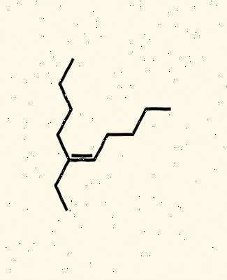 [CH2]CC(=CCCCC)CCCC